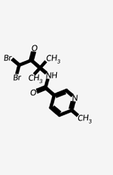 Cc1ccc(C(=O)NC(C)(C)C(=O)C(Br)Br)cn1